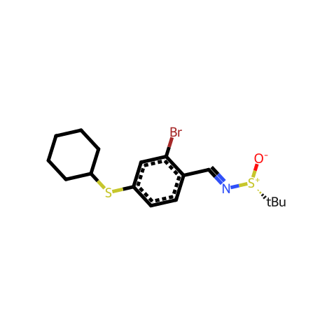 CC(C)(C)[S@@+]([O-])N=Cc1ccc(SC2CCCCC2)cc1Br